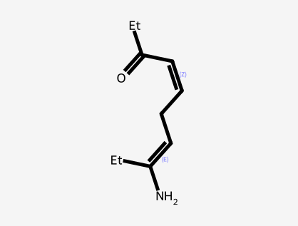 CCC(=O)/C=C\C/C=C(/N)CC